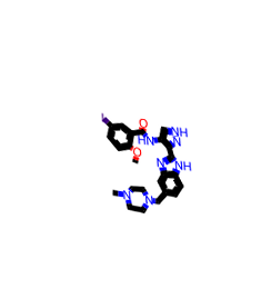 COc1ccc(I)cc1C(=O)Nc1c[nH]nc1-c1nc2cc(CN3CCN(C)CC3)ccc2[nH]1